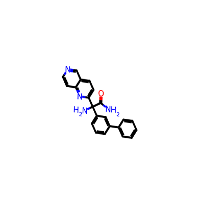 NC(=O)C(N)(c1cccc(-c2ccccc2)c1)c1ccc2cnccc2n1